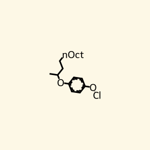 CCCCCCCCCCC(C)Oc1ccc(OCl)cc1